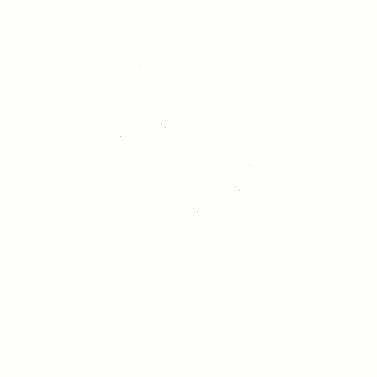 Cc1cc(-c2ccccc2Cl)nc2c(C(=O)NC(C3CC3)C(F)(F)F)cnn12